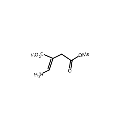 COC(=O)CC(=CN)C(=O)O